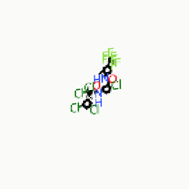 Cc1cc(C(F)(C(F)(F)F)C(F)(F)F)ccc1NC(=O)c1cc(NC(=O)[C@H]2[C@H](c3cc(Cl)cc(Cl)c3)C2(Cl)Cl)ccc1Cl